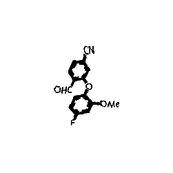 COc1cc(F)ccc1Oc1cc(C#N)ccc1C=O